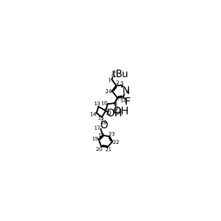 CC(C)(C)Cc1cnc(F)c(C(O)C[C@@]2(O)CC[C@H]2OCc2ccccc2)c1